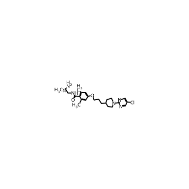 Cc1cc(OCCCC2CCN(c3ncc(Cl)cn3)CC2)cc(C)c1C(=O)NC[C@@H](C)N